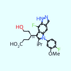 COc1cc(-n2c(C(C)C)c([C@H](CCO)CCC(=O)O)c3c(F)c4[nH]ncc4cc32)ccc1F